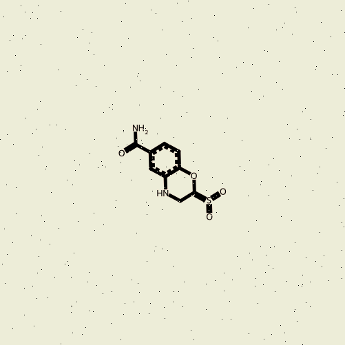 NC(=O)c1ccc2c(c1)NCC(=S(=O)=O)O2